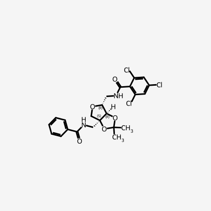 CC1(C)O[C@@H]2[C@@H](CNC(=O)c3c(Cl)cc(Cl)cc3Cl)OC[C@]2(CNC(=O)c2ccccc2)O1